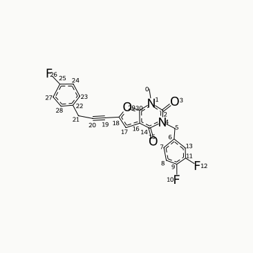 Cn1c(=O)n(Cc2ccc(F)c(F)c2)c(=O)c2cc(C#CCc3ccc(F)cc3)oc21